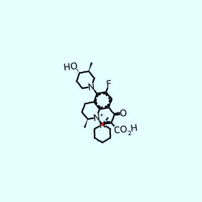 C[C@H]1CN(c2c(F)cc3c4c2CC[C@H](C)[N+]4([N+]2(C)CCCCC2)C=C(C(=O)O)C3=O)CC[C@@H]1O